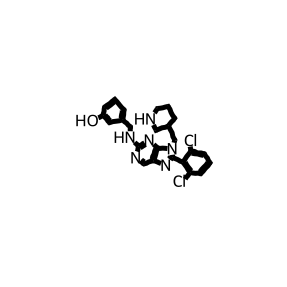 Oc1cccc(CNc2ncc3nc(-c4c(Cl)cccc4Cl)n(CC4CCCNC4)c3n2)c1